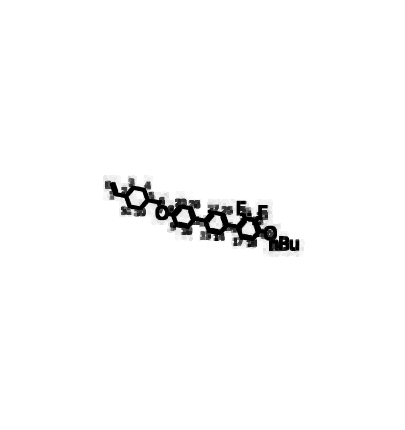 C=CC1CCC(COc2ccc(-c3ccc(-c4ccc(OCCCC)c(F)c4F)cc3)cc2)CC1